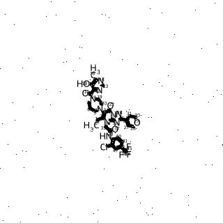 CCc1c(N2CCCN(C(=O)c3ncnc(C)c3O)CC2)c(=O)n2nc(C3=CCOCC3)nc2n1CC(=O)Nc1ccc(C(F)(F)F)cc1Cl